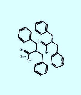 [Se]=C([Se-])N(Cc1ccccc1)Cc1ccccc1.[Se]=C([Se-])N(Cc1ccccc1)Cc1ccccc1.[Zn+2]